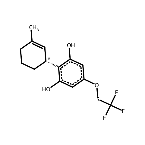 CC1=C[C@H](c2c(O)cc(OSC(F)(F)F)cc2O)CCC1